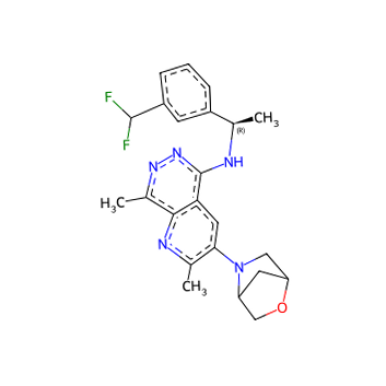 Cc1nc2c(C)nnc(N[C@H](C)c3cccc(C(F)F)c3)c2cc1N1CC2CC1CO2